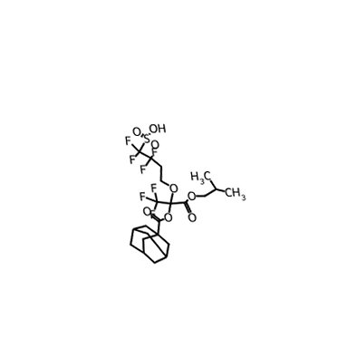 CC(C)COC(=O)C(OCCC(F)(F)C(F)(F)S(=O)(=O)O)(OC(=O)C12CC3CC(CC(C3)C1)C2)C(F)(F)F